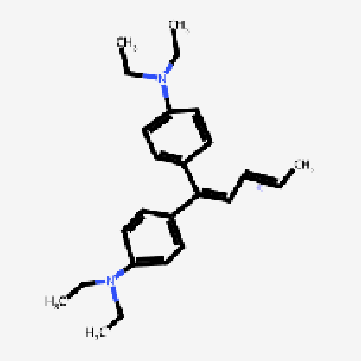 C/C=C/C=C(c1ccc(N(CC)CC)cc1)c1ccc(N(CC)CC)cc1